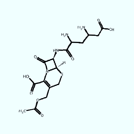 CC(=O)OCC1=C(C(=O)O)N2C(=O)[C@@H](NC(=O)C(N)CC(N)CC(=O)O)[C@H]2SC1